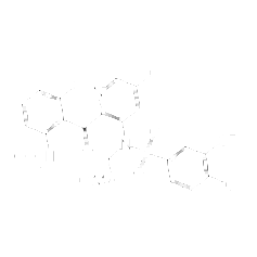 COCN(c1cc(Cl)cnc1C(=O)c1c(Cl)cccc1C(=O)O)S(=O)(=O)c1ccc(Cl)c(C(F)(F)F)c1